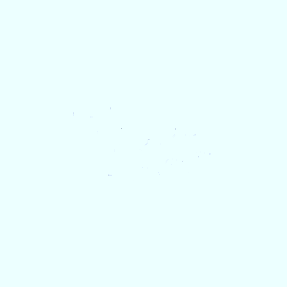 COc1cc2oc(=O)ccc2cc1OCC=C(C)C